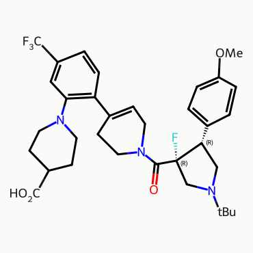 COc1ccc([C@@H]2CN(C(C)(C)C)C[C@@]2(F)C(=O)N2CC=C(c3ccc(C(F)(F)F)cc3N3CCC(C(=O)O)CC3)CC2)cc1